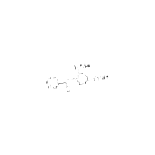 CNc1cc(OC)ccc1CC(=O)c1cccnc1